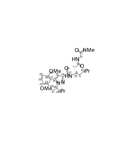 CNC(=O)CNC(=O)C[C@H](CC(C)C)NC(=O)c1cc(-c2c(OC)cccc2OC)n(C(C)C(C)C)n1